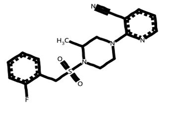 CC1CN(c2ncccc2C#N)CCN1S(=O)(=O)Cc1ccccc1F